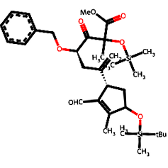 C=C(C[C@@H](OCc1ccccc1)C(=O)C(C)(O[Si](C)(C)C)C(=O)OC)[C@@H]1CC(O[Si](C)(C)C(C)(C)C)C(C)=C1C=O